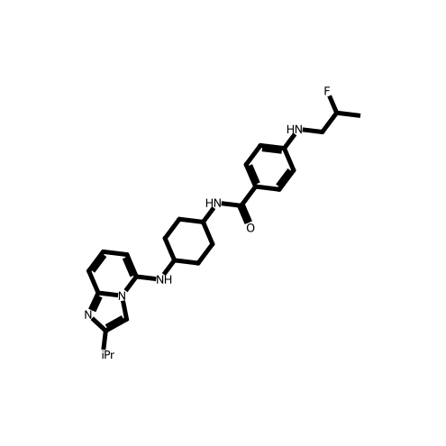 CC(F)CNc1ccc(C(=O)NC2CCC(Nc3cccc4nc(C(C)C)cn34)CC2)cc1